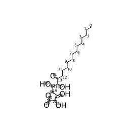 CCCCCCCCCCCCCC(=O)C(O)[C@H](O)[C@H]1OC(=O)C(O)=C1O